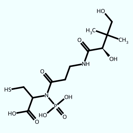 CC(C)(CO)[C@@H](O)C(=O)NCCC(=O)N(C(CS)C(=O)O)P(=O)(O)O